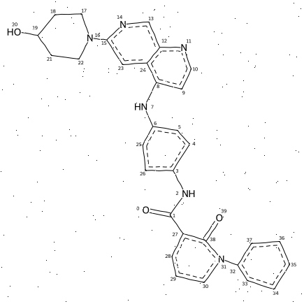 O=C(Nc1ccc(Nc2ccnc3cnc(N4CCC(O)CC4)cc23)cc1)c1cccn(-c2ccccc2)c1=O